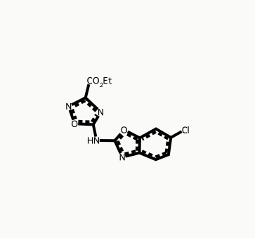 CCOC(=O)c1noc(Nc2nc3ccc(Cl)cc3o2)n1